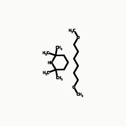 CC1(C)CCCC(C)(C)N1.COCCCCCCOC